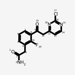 NC(=O)Cc1cccc(C(=O)Cc2ccnc(Cl)n2)c1F